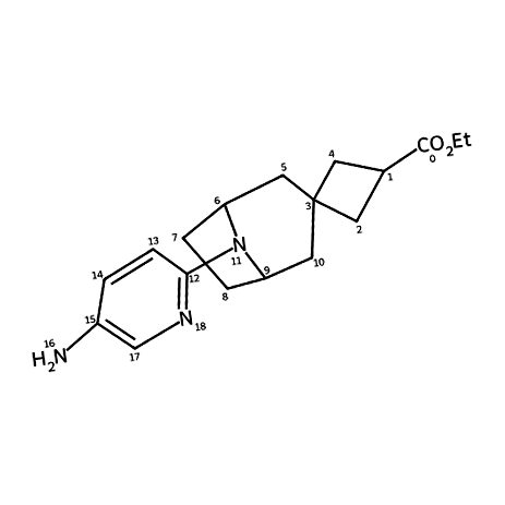 CCOC(=O)C1CC2(C1)CC1CCC(C2)N1c1ccc(N)cn1